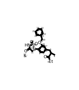 CCC(=O)C(C)Cc1ccc(N2CC(=O)NS2(=O)=O)c(OCc2ccccc2)c1.[K]